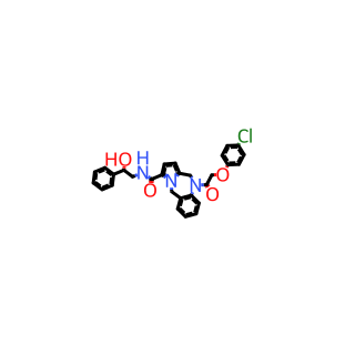 O=C(NCC(O)c1ccccc1)c1ccc2n1Cc1ccccc1N(C(=O)COc1ccc(Cl)cc1)C2